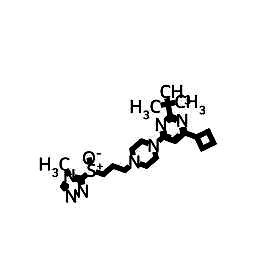 Cn1cnnc1[S+]([O-])CCCN1CCN(c2cc(C3CCC3)nc(C(C)(C)C)n2)CC1